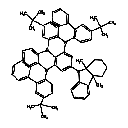 CC(C)(C)c1ccc2c(c1)B1c3ccccc3N(c3ccc(C(C)(C)C)cc3-c3ccccc3)c3cc(N4c5ccccc5C5(C)CCCCC45C)cc(c31)N2c1ccc(C(C)(C)C)cc1-c1ccccc1